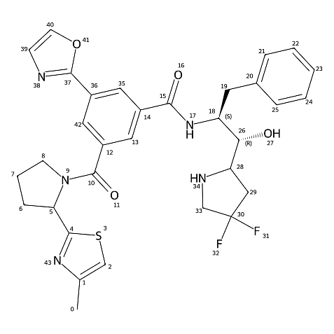 Cc1csc(C2CCCN2C(=O)c2cc(C(=O)N[C@@H](Cc3ccccc3)[C@H](O)C3CC(F)(F)CN3)cc(-c3ncco3)c2)n1